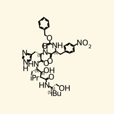 CC[C@H](C)[C@@H](CO)NC(=O)C[C@H](O)[C@H](CC(C)C)NC(=O)[C@H](Cc1c[nH]cn1)NC(=O)[C@H](Cc1ccc([N+](=O)[O-])cc1)NC(=O)OCc1ccccc1